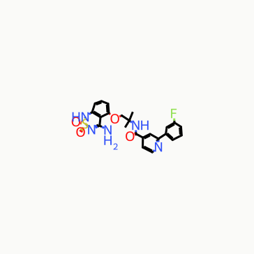 CC(C)(COc1cccc2c1C(N)=NS(=O)(=O)N2)NC(=O)c1ccnc(-c2cccc(F)c2)c1